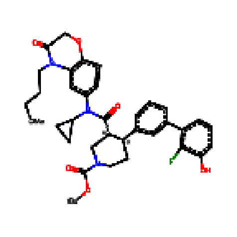 COCCCN1C(=O)COc2ccc(N(C(=O)[C@H]3CN(C(=O)OC(C)(C)C)CC[C@@H]3c3cccc(-c4cccc(O)c4F)c3)C3CC3)cc21